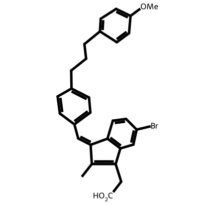 COc1ccc(CCCc2ccc(/C=C3/C(C)=C(CC(=O)O)c4cc(Br)ccc43)cc2)cc1